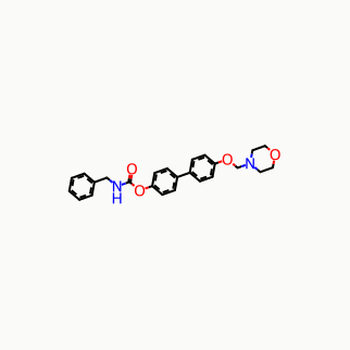 O=C(NCc1ccccc1)Oc1ccc(-c2ccc(OCN3CCOCC3)cc2)cc1